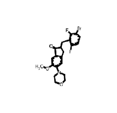 COc1cc2c(cc1N1CCOCC1)CC(Cc1c(F)ccc(Br)c1F)C2=O